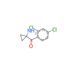 NC1(C(=O)c2ccc(Cl)cc2Cl)CC1